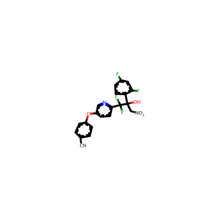 N#Cc1ccc(Oc2ccc(C(F)(F)C(O)(C[N+](=O)[O-])c3ccc(F)cc3F)nc2)cc1